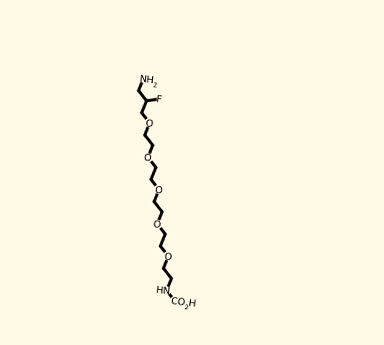 NCC(F)COCCOCCOCCOCCOCCNC(=O)O